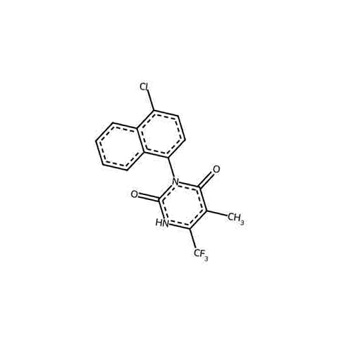 Cc1c(C(F)(F)F)[nH]c(=O)n(-c2ccc(Cl)c3ccccc23)c1=O